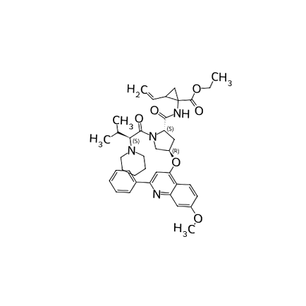 C=CC1CC1(NC(=O)[C@@H]1C[C@@H](Oc2cc(-c3ccccc3)nc3cc(OC)ccc23)CN1C(=O)[C@H](C(C)C)N1CCCCC1)C(=O)OCC